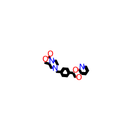 O=C1OCC2CN(Cc3ccc(C4COc5cccnc5O4)cc3)CCN12